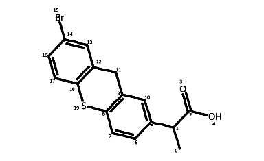 CC(C(=O)O)c1ccc2c(c1)Cc1cc(Br)ccc1S2